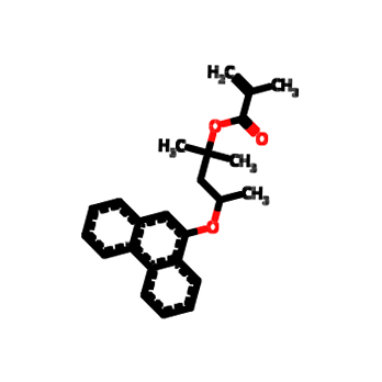 C=C(C)C(=O)OC(C)(C)CC(C)Oc1cc2ccccc2c2ccccc12